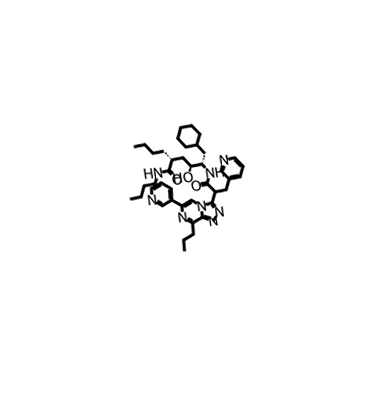 CCCCNC(=O)[C@H](CCCC)C[C@H](O)[C@H](CC1CCCCC1)NC(=O)C(Cc1cccnc1)c1nnc2c(CCC)nc(-c3cccnc3)cn12